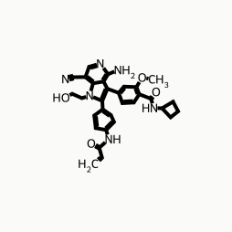 C=CC(=O)Nc1ccc(-c2c(-c3ccc(C(=O)NC4CCC4)c(OC)c3)c3c(N)ncc(C#N)c3n2CCO)cc1